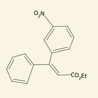 CCOC(=O)C=C(c1ccccc1)c1cccc([N+](=O)[O-])c1